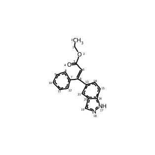 CCOC(=O)C=C(c1ccccc1)c1ccc2[nH]ncc2c1